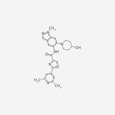 Cc1cc(-c2nc(C(=O)Nc3cc4cnn(C)c4cc3N3CCC(O)CC3)co2)cc(C)n1